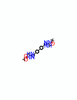 CC(C)C(NC(=O)C(C)(C)C)c1ncc(-c2ccc(-c3ccc(-c4cnc([C@@H](NC(=O)OC(C)(C)C)C(C)C)[nH]4)cc3)cc2)[nH]1